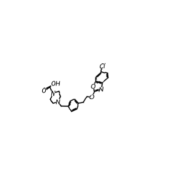 O=C(O)N1CCN(Cc2ccc(CCOc3nc4ccc(Cl)cc4o3)cc2)CC1